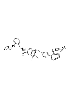 Cc1c(C)n(Cc2ccc(-c3ccccc3C(=O)O)cc2)c2ccc(C(=O)NCc3ccccc3[N+](=O)[O-])cc12